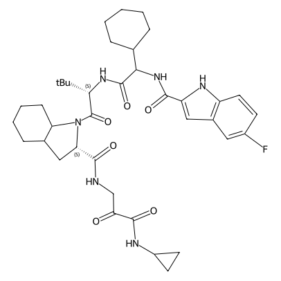 CC(C)(C)[C@H](NC(=O)C(NC(=O)c1cc2cc(F)ccc2[nH]1)C1CCCCC1)C(=O)N1C2CCCCC2C[C@H]1C(=O)NCC(=O)C(=O)NC1CC1